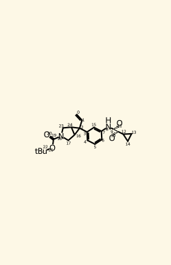 C=CC1(c2cccc(NS(=O)(=O)C3CC3)c2)C2CN(C(=O)OC(C)(C)C)CC21